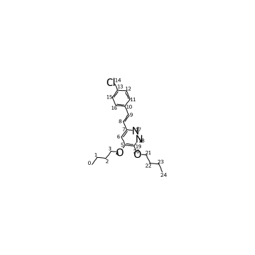 CCCCOc1cc(/C=C/c2ccc(Cl)cc2)nnc1OCCCC